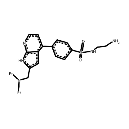 CCN(CC)Cc1cc2c(-c3ccc(S(=O)(=O)NCCN)cc3)ccnc2[nH]1